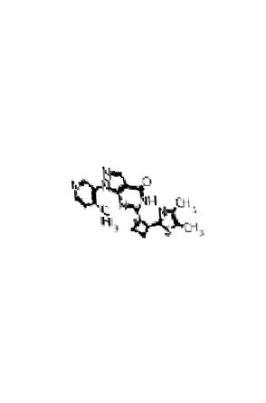 Cc1ccncc1-n1ncc2c(=O)[nH]c([C@@H]3CCC3c3nc(C)c(C)s3)nc21